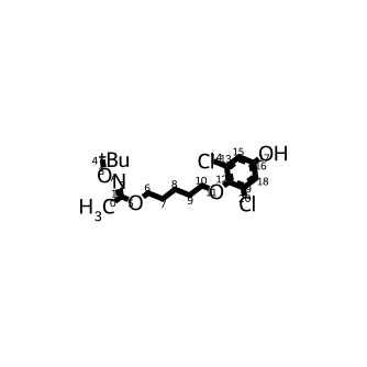 CC(=NOC(C)(C)C)OCCCCCOc1c(Cl)cc(O)cc1Cl